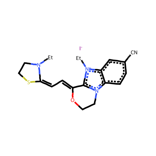 CCN1CCSC1=CC=C1OCCn2c1[n+](CC)c1cc(C#N)ccc12.[I-]